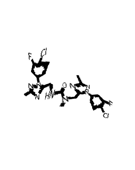 Cc1nc(CNC(=O)N(C)Cc2nc(C)nn2-c2ccc(Cl)c(F)c2)n(-c2ccc(Cl)c(F)c2)n1